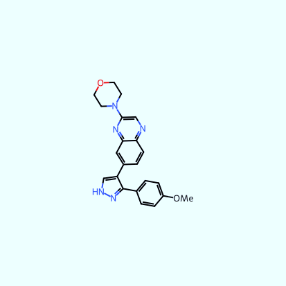 COc1ccc(-c2n[nH]cc2-c2ccc3ncc(N4CCOCC4)nc3c2)cc1